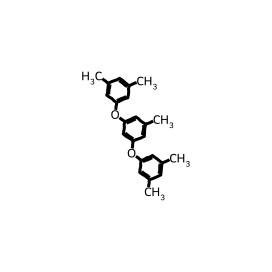 Cc1cc(C)cc(Oc2cc(C)cc(Oc3cc(C)cc(C)c3)c2)c1